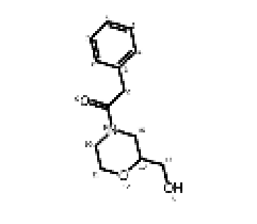 O=C(Cc1cc[c]cc1)N1CCOC(CO)C1